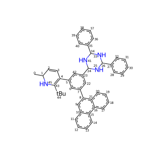 CC1C=CC(c2cc(-c3cc4ccccc4c4ccccc34)cc(C3NC(c4ccccc4)NC(c4ccccc4)N3)c2)=C(C(C)(C)C)N1